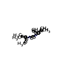 CCN(CC)c1ccc(/C=C/C(=O)CC(=O)/C=C/c2ccc(N(CC)CC)cc2OCOC)c(OCOC)c1